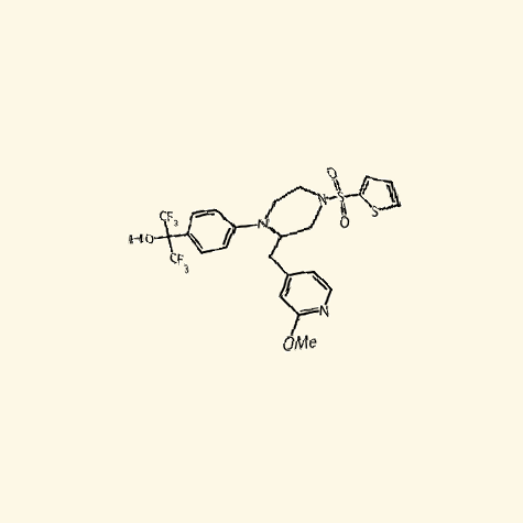 COc1cc(CC2CN(S(=O)(=O)c3cccs3)CCN2c2ccc(C(O)(C(F)(F)F)C(F)(F)F)cc2)ccn1